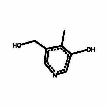 Cc1c(O)cncc1CO